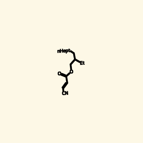 CCCCCCCCC(CC)COC(=O)C=CC#N